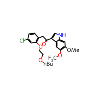 CCCCOCCOc1cc(Cl)ccc1CC(=O)c1c[nH]c2cc(OC)c(OC(F)(F)F)cc12